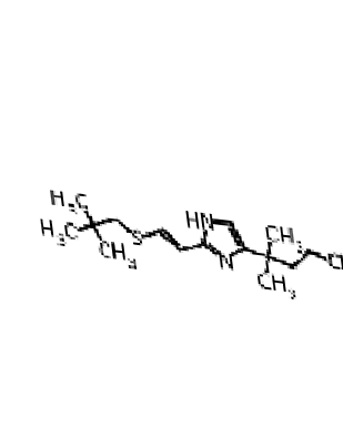 CCCC(C)(C)c1c[nH]c(/C=C/SCC(C)(C)C)n1